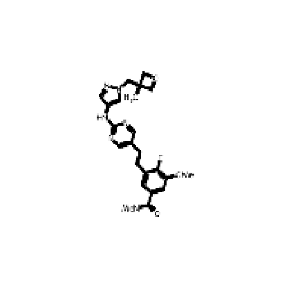 CNC(=O)c1cc(CCc2cnc(Nc3cnn(CC4(C)COC4)c3)nc2)c(F)c(OC)c1